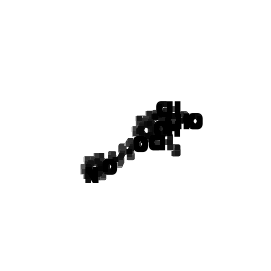 Cc1c(OCCCCCOc2cccnc2)ccc(CC(C)CC=O)c1O